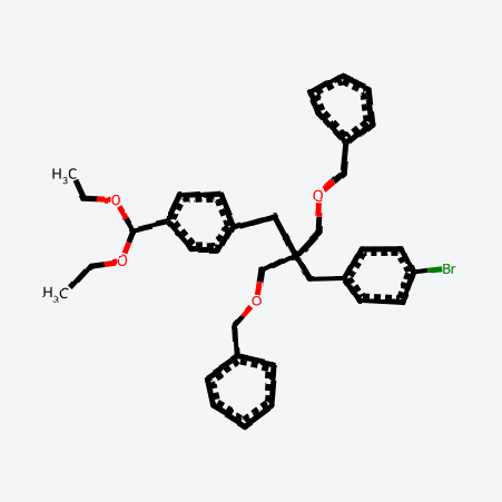 CCOC(OCC)c1ccc(CC(COCc2ccccc2)(COCc2ccccc2)Cc2ccc(Br)cc2)cc1